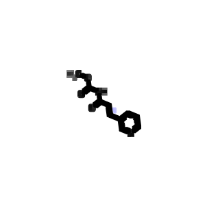 COC(=O)NC(=O)/C=C/c1cccnc1